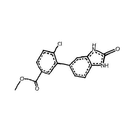 COC(=O)c1ccc(Cl)c(-c2ccc3[nH]c(=O)[nH]c3c2)c1